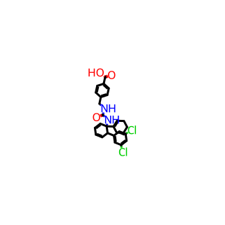 O=C(NCc1ccc(C(=O)O)cc1)NC1(C2=CCCCC2)C=CC=CC1c1cc(Cl)cc(Cl)c1